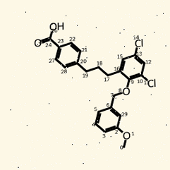 COc1cccc(COc2c(Cl)cc(Cl)cc2CCCc2ccc(C(=O)O)cc2)c1